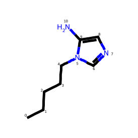 CCCCCn1cncc1N